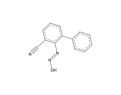 N#Cc1cccc(-c2ccccc2)c1N=NO